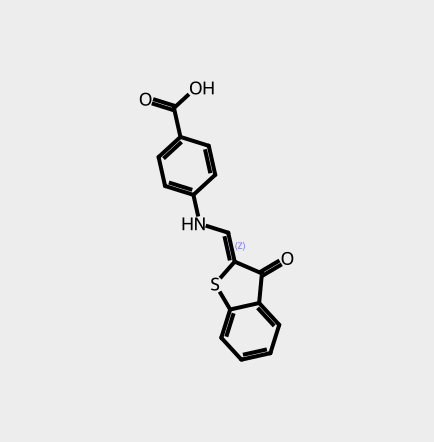 O=C(O)c1ccc(N/C=C2\Sc3ccccc3C2=O)cc1